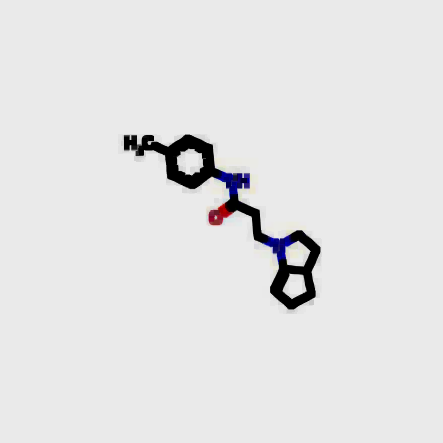 Cc1ccc(NC(=O)CCN2CCC3CCC=C32)cc1